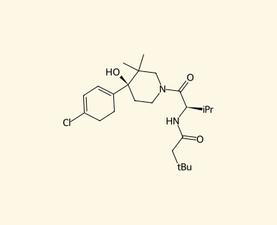 CC(C)[C@@H](NC(=O)CC(C)(C)C)C(=O)N1CC[C@](O)(C2=CC=C(Cl)CC2)C(C)(C)C1